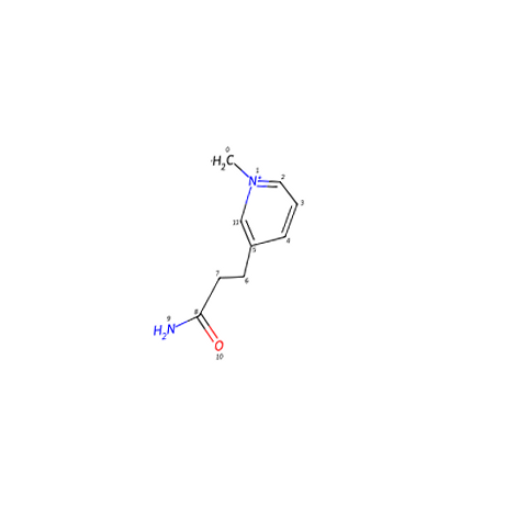 [CH2][n+]1cccc(CCC(N)=O)c1